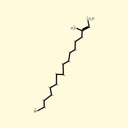 C/C(=C\C(=O)O)CCCCCCCCCCCCCC(C)C